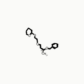 C[C@@H](CCOCCOC1CCCCO1)OCc1ccccc1